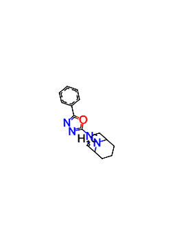 CN1C2CCCC1CN(c1nnc(-c3ccccc3)o1)C2